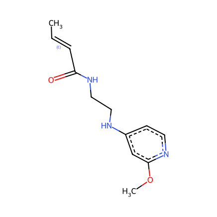 C/C=C/C(=O)NCCNc1ccnc(OC)c1